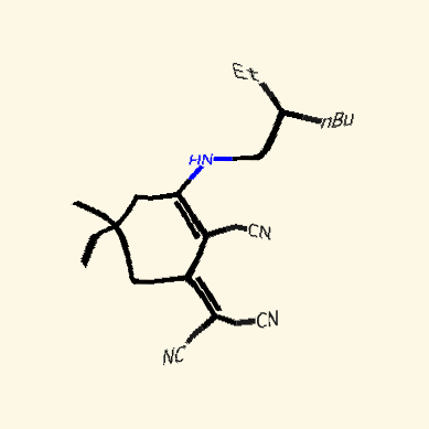 CCCCC(CC)CNC1=C(C#N)C(=C(C#N)C#N)CC(C)(C)C1